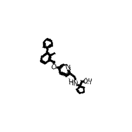 Cc1c(COc2ccc(CNC3(CO)CCCC3)nc2)cccc1-c1ccccc1